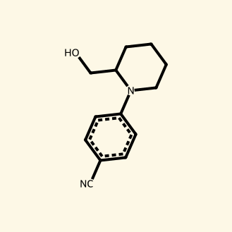 N#Cc1ccc(N2CCCCC2CO)cc1